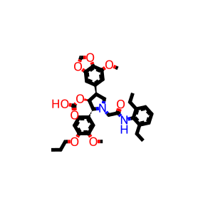 CCCOc1ccc([C@@H]2[C@@H](OC(=O)O)[C@@H](c3cc(OC)c4c(c3)OCO4)CN2CC(=O)Nc2c(CC)cccc2CC)cc1OC